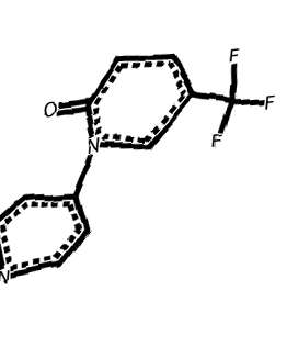 O=c1ccc(C(F)(F)F)cn1-c1ccncc1